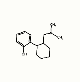 CN(C)CC1CCCCC1c1ccccc1O